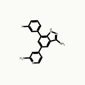 Nc1cc(-c2cc(-c3cccc(F)c3)c3[nH]nc(N)c3c2)ccn1